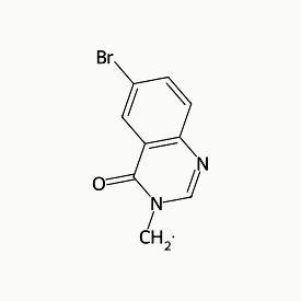 [CH2]n1cnc2ccc(Br)cc2c1=O